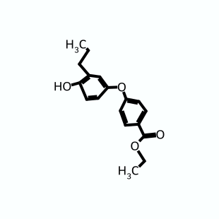 CCCc1cc(Oc2ccc(C(=O)OCC)cc2)ccc1O